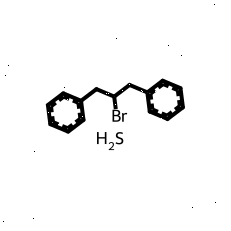 BrC(Cc1ccccc1)Cc1ccccc1.S